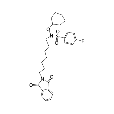 O=C1c2ccccc2C(=O)N1CCCCCCCN(OC1CCCCC1)S(=O)(=O)c1ccc(F)cc1